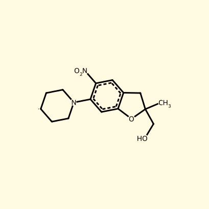 CC1(CO)Cc2cc([N+](=O)[O-])c(N3CC[CH]CC3)cc2O1